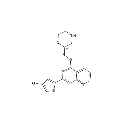 Clc1csc(-c2cc3ncccc3c(OC[C@@H]3CNCCO3)n2)c1